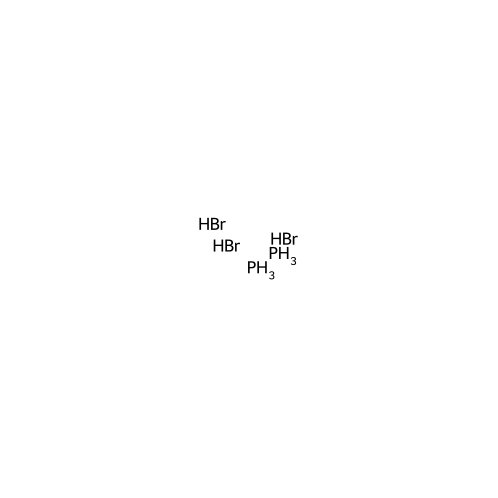 Br.Br.Br.P.P